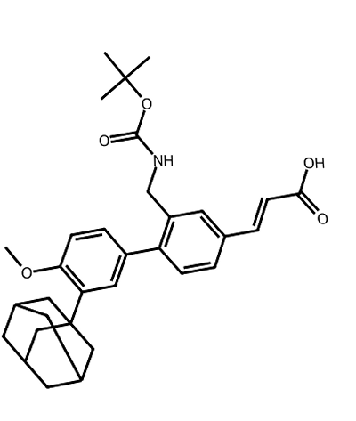 COc1ccc(-c2ccc(/C=C/C(=O)O)cc2CNC(=O)OC(C)(C)C)cc1C12CC3CC(CC(C3)C1)C2